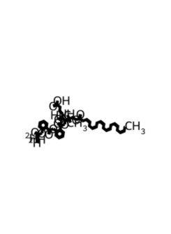 [2H]C([2H])([2H])C(=O)Oc1ccccc1C(=O)Oc1ccccc1C(=O)OC(C(=O)NCCC(=O)O)C(C)(C)COC(=O)C/C=C\C/C=C\C/C=C\C/C=C\C/C=C\C/C=C\CC